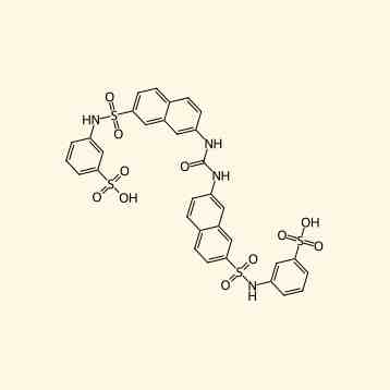 O=C(Nc1ccc2ccc(S(=O)(=O)Nc3cccc(S(=O)(=O)O)c3)cc2c1)Nc1ccc2ccc(S(=O)(=O)Nc3cccc(S(=O)(=O)O)c3)cc2c1